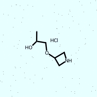 CC(O)COC1CNC1.Cl